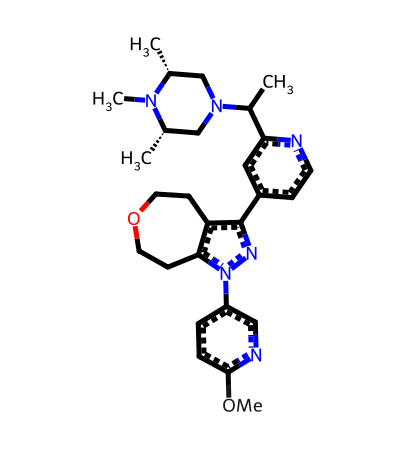 COc1ccc(-n2nc(-c3ccnc(C(C)N4C[C@@H](C)N(C)[C@@H](C)C4)c3)c3c2CCOCC3)cn1